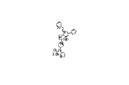 O=C(Nc1cc(-c2ccccc2)cn(CCc2ccccn2)c1=O)N1CCC(n2c(=O)[nH]c3ncccc32)CC1